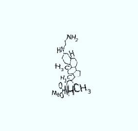 COC(=O)NC[C@@H](C)[C@H]1CCC2C3CC[C@H]4C[C@@H](NCCN)CC[C@]4(C)C3CC[C@@]21C